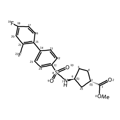 COC(=O)[C@H]1CC[C@H](NS(=O)(=O)c2ccc(-c3ccc(F)cc3F)cc2)C1